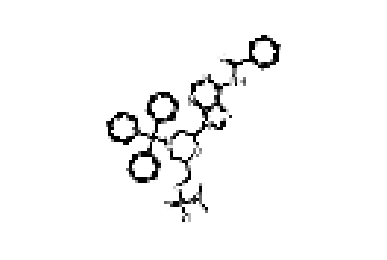 CN(C)P(=O)(Cl)OCC1CN(C(c2ccccc2)(c2ccccc2)c2ccccc2)CC(n2cnc3c(NC(=O)c4ccccc4)ncnc32)O1